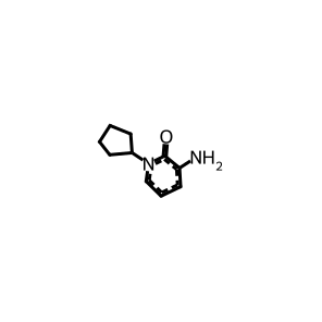 Nc1cccn(C2CCCC2)c1=O